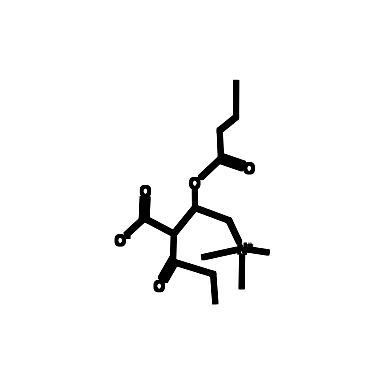 CCCC(=O)OC(C[N+](C)(C)C)C(C(=O)[O-])C(=O)CC